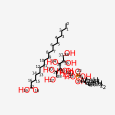 CCCCCCCCCCCCCCCCCC(=O)O.O.O.O=P(O)(O)O.OCC(O)C(O)C(O)C(O)CO.[CaH2].[CaH2].[MgH2]